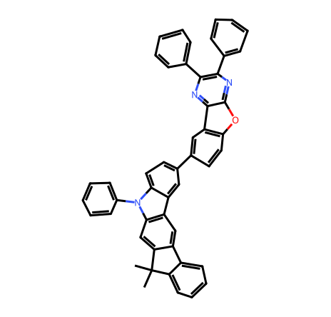 CC1(C)c2ccccc2-c2cc3c4cc(-c5ccc6oc7nc(-c8ccccc8)c(-c8ccccc8)nc7c6c5)ccc4n(-c4ccccc4)c3cc21